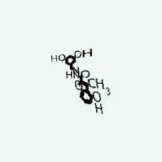 Cc1c(C(=O)NN=Cc2cc(O)cc(O)c2)oc2cccc(O)c12